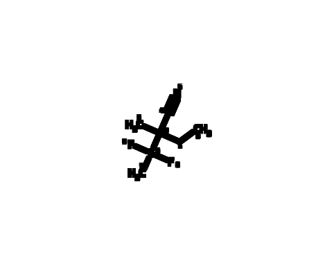 CCC(C)(C#N)S(C)(F)F